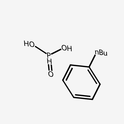 CCCCc1ccccc1.O=[PH](O)O